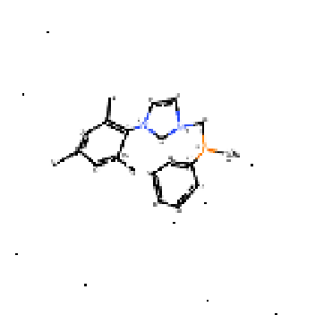 Cc1cc(C)c(N2C=CN(CP(c3ccccc3)C(C)(C)C)C2)c(C)c1